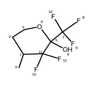 CC1CCOC(O)(C(F)(F)F)C1(F)F